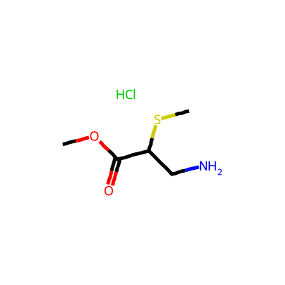 COC(=O)C(CN)SC.Cl